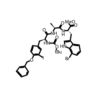 COC(=O)[C@H](Cc1c[nH]c2c(Br)cccc12)NC(=O)[C@H](C)NC(=O)[C@H](Cc1ccc(OCc2ccccc2)c(I)c1)NC(=O)OC(C)(C)C